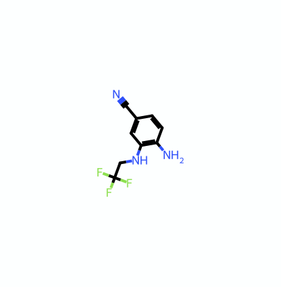 N#Cc1ccc(N)c(NCC(F)(F)F)c1